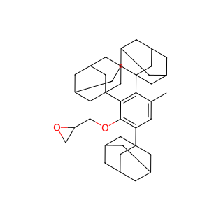 Cc1cc(C23CC4CC(CC(C4)C2)C3)c(OCC2CO2)c(C23CC4CC(CC(C4)C2)C3)c1C12CC3CC(CC(C3)C1)C2